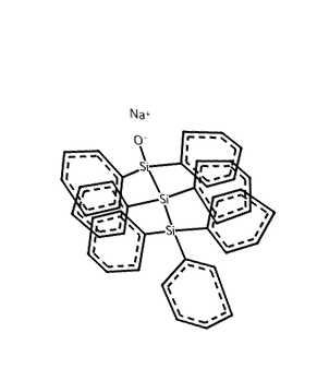 [Na+].[O-][Si](c1ccccc1)(c1ccccc1)[Si](c1ccccc1)(c1ccccc1)[Si](c1ccccc1)(c1ccccc1)c1ccccc1